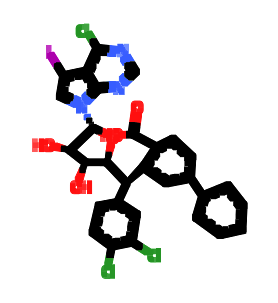 O=C(O)c1ccc(-c2ccccc2)cc1[C@@H](c1ccc(Cl)c(Cl)c1)[C@@H]1O[C@@H](n2cc(I)c3c(Cl)ncnc32)[C@H](O)[C@@H]1O